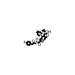 Cc1cn2nc(C(=O)NCC(=O)Cc3ccc(F)cc3)cc2c(N2CCC(C)(C)CC2)c1C(OC(C)(C)C)C(=O)O